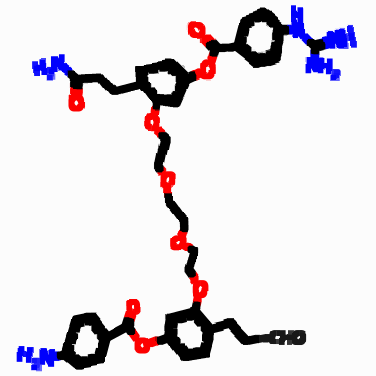 N=C(N)Nc1ccc(C(=O)Oc2ccc(CCC(N)=O)c(OCCOCCOCCOc3cc(OC(=O)c4ccc(N)cc4)ccc3CCC=O)c2)cc1